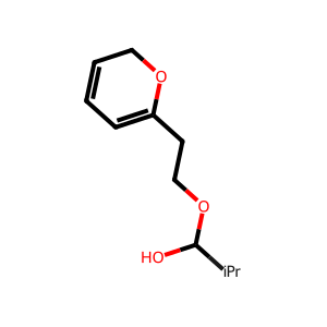 CC(C)C(O)OCCC1=CC=CCO1